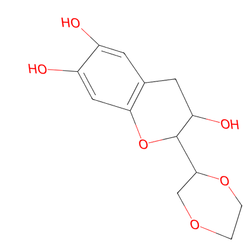 Oc1cc2c(cc1O)OC(C1COCCO1)C(O)C2